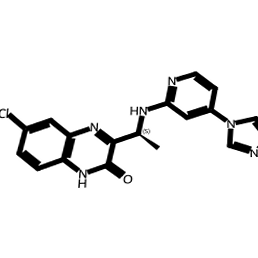 C[C@H](Nc1cc(-n2ccnc2)ccn1)c1nc2cc(Cl)ccc2[nH]c1=O